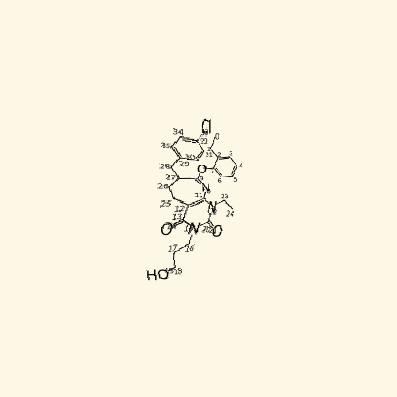 CCc1ccccc1OC1=Nc2c(c(=O)n(CCCO)c(=O)n2CC)CCC1Cc1ccc(Cl)cc1